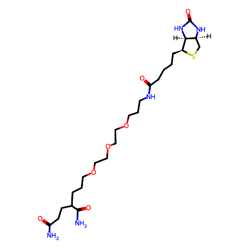 NC(=O)CCC(CCCOCCOCCOCCCNC(=O)CCCC[C@@H]1SC[C@@H]2NC(=O)N[C@@H]21)C(N)=O